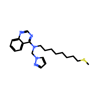 CSCCCCCCCCN(Cn1cccn1)c1ncnc2ccccc12